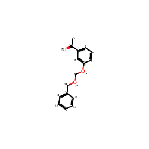 CC(=O)c1cccc(OCOCc2ccccc2)c1